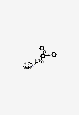 C=C/C(=C\NC)CCCNC(=O)c1ccc(Oc2ccccc2)c(C#Cc2ccccc2)c1